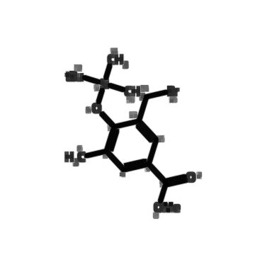 COC(=O)c1cc(C)c(O[Si](C)(C)C(C)(C)C)c(CBr)c1